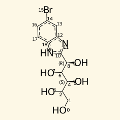 OCC(O)[C@H](O)C(O)[C@H](O)c1nc2cc(Br)ccc2[nH]1